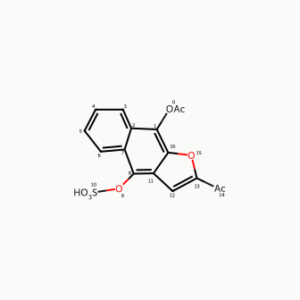 CC(=O)Oc1c2ccccc2c(OS(=O)(=O)O)c2cc(C(C)=O)oc12